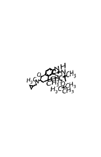 CN(CC1CC1)C1CC(C)(C)c2c(ccc3nc(NC(C)(C)COC(C)(C)C)sc23)C1=O